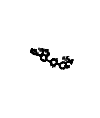 CC1(C2CN(c3ncc(-c4ccc(-n5cccn5)c5[nH]ncc45)nn3)CCN2)CC1